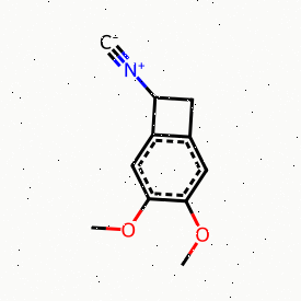 [C-]#[N+]C1Cc2cc(OC)c(OC)cc21